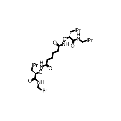 CC(C)CNC(=O)[C@@H](CC(C)C)ONC(=O)CCCCC(=O)NO[C@H](CC(C)C)C(=O)NCC(C)C